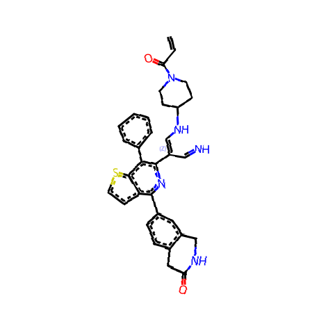 C=CC(=O)N1CCC(N/C=C(\C=N)c2nc(-c3ccc4c(c3)CNC(=O)C4)c3ccsc3c2-c2ccccc2)CC1